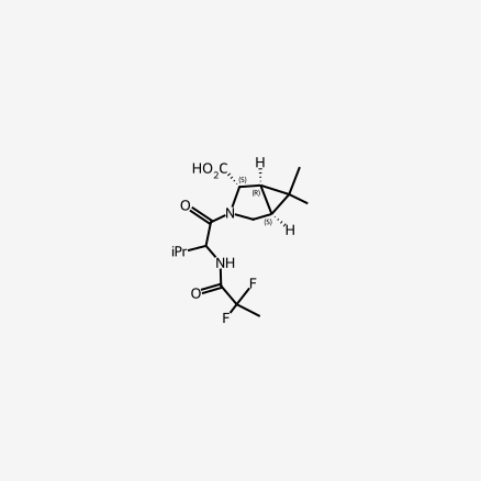 CC(C)C(NC(=O)C(C)(F)F)C(=O)N1C[C@H]2[C@@H]([C@H]1C(=O)O)C2(C)C